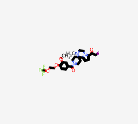 COc1cc(C(=O)N2CCC3(CC2)c2ccc(C(=O)CI)n2CCN3C)ccc1OCCOC(F)(F)F